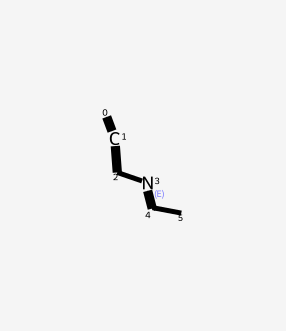 C=C=C/N=C/C